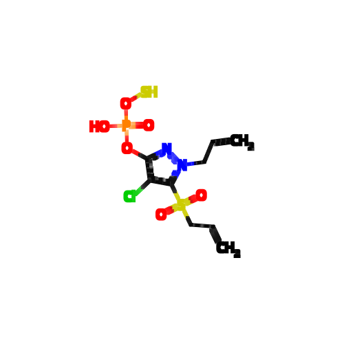 C=CCn1nc(OP(=O)(O)OS)c(Cl)c1S(=O)(=O)CC=C